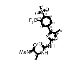 CNC(=O)C(C)NC(=O)Nc1nc(C)c(-c2ccc(S(C)(=O)=O)c(C(F)(F)F)c2)s1